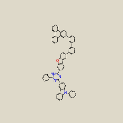 c1ccc(C2N=C(c3ccc4c(c3)c3ccccc3n4-c3ccccc3)N=C(c3ccc4c(c3)oc3ccc(-c5cccc(-c6cccc(-c7ccc8c9ccccc9c9ccccc9c8c7)c6)c5)cc34)N2)cc1